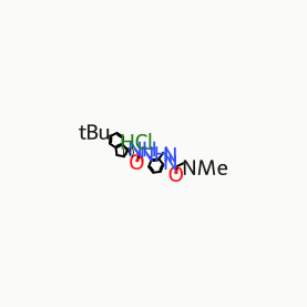 CNCC(=O)n1ncc2c(NC(=O)N[C@@H]3CCc4cc(C(C)(C)C)ccc43)cccc21.Cl